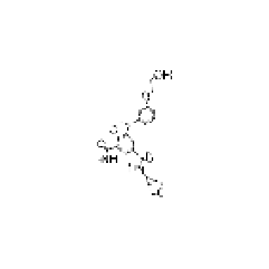 CNC(=O)c1cc(C(=O)NC2C3COCC32)cc2c1OCC2c1cccc(OCCO)c1